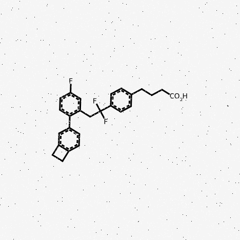 O=C(O)CCCc1ccc(C(F)(F)Cc2cc(F)ccc2-c2ccc3c(c2)CC3)cc1